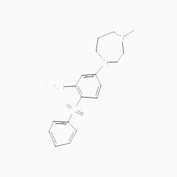 CC(=O)Nc1cc(N2CCCN(C)CC2)ccc1S(=O)(=O)c1ccccc1